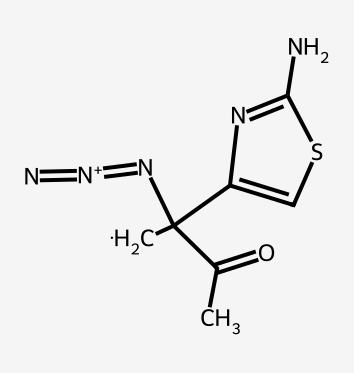 [CH2]C(N=[N+]=[N-])(C(C)=O)c1csc(N)n1